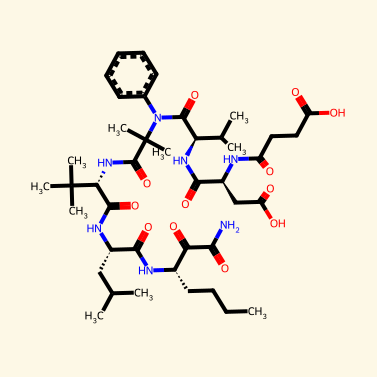 CCCC[C@H](NC(=O)[C@H](CC(C)C)NC(=O)[C@@H](NC(=O)C(C)(C)N(C(=O)[C@H](NC(=O)[C@H](CC(=O)O)NC(=O)CCC(=O)O)C(C)C)c1ccccc1)C(C)(C)C)C(=O)C(N)=O